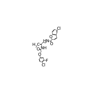 C=C(CCNC(=O)[C@@H]1C=Cc2cc(Cl)ccc2O1)NC(=O)COc1ccc(Cl)c(F)c1